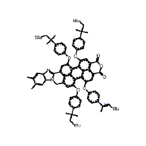 CC1=CC2N=C3c4cc(Oc5ccc(C(C)(C)CC(C)(C)C)cc5)c5c6c(Oc7ccc(C(C)(C)CC(C)(C)C)cc7)cc7c8c(cc(Oc9ccc(/C(C)=C/C(C)(C)C)cc9)c(c9c(Oc%10ccc(C(C)(C)CC(C)(C)C)cc%10)cc(c4c95)CN3C2C=C1C)c86)C(=O)OC7=O